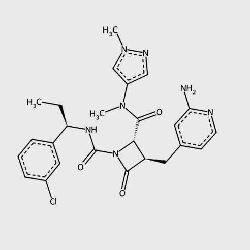 CC[C@@H](NC(=O)N1C(=O)[C@H](Cc2ccnc(N)c2)[C@H]1C(=O)N(C)c1cnn(C)c1)c1cccc(Cl)c1